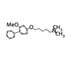 COc1cc(OCCCCCN(C)C)ccc1-c1ccccc1